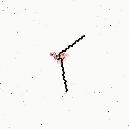 CCCCCCCCCCCCCCCCC(C(=O)O)C(CCCCCCCCCCCCCCCC)(C(=O)O)S(=O)(=O)O.[KH]